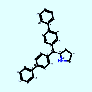 c1ccc(-c2ccc(C(c3ccc(-c4ccccc4)cc3)[C@H]3CCCN3)cc2)cc1